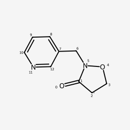 O=C1[CH]CON1Cc1cccnc1